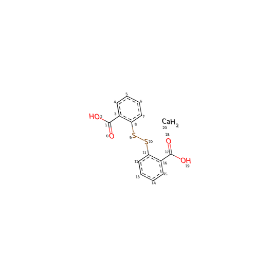 O=C(O)c1ccccc1SSc1ccccc1C(=O)O.[CaH2]